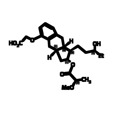 CC[C@H](O)CC[C@@H]1[C@H]2Cc3cccc(OCC(=O)O)c3C[C@H]2C[C@H]1OC(=O)[C@@H](C)OC